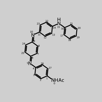 CC(=O)Nc1ccc(N=C2C=CC(=Nc3ccc(Nc4ccccc4)cc3)C=C2)cc1